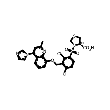 Cc1cc(-n2ccnc2)c2cccc(OCc3c(Cl)ccc(S(=O)(=O)N4CSC[C@H]4C(=O)O)c3Cl)c2n1